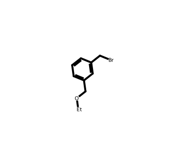 CCOCc1cccc(CBr)c1